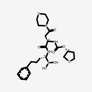 O=C(N[C@H](CC(=O)N1CCOCC1)C(=O)N[C@@H](CCCc1ccccc1)B(O)O)O[C@@H]1CCOC1